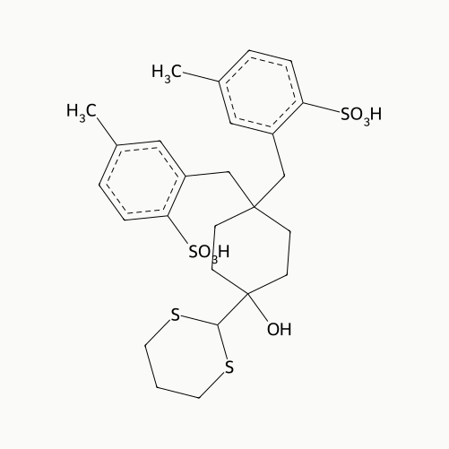 Cc1ccc(S(=O)(=O)O)c(CC2(Cc3cc(C)ccc3S(=O)(=O)O)CCC(O)(C3SCCCS3)CC2)c1